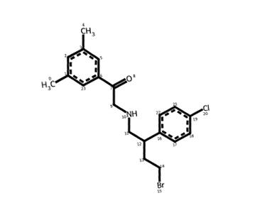 Cc1cc(C)cc(C(=O)CNCC(CCBr)c2ccc(Cl)cc2)c1